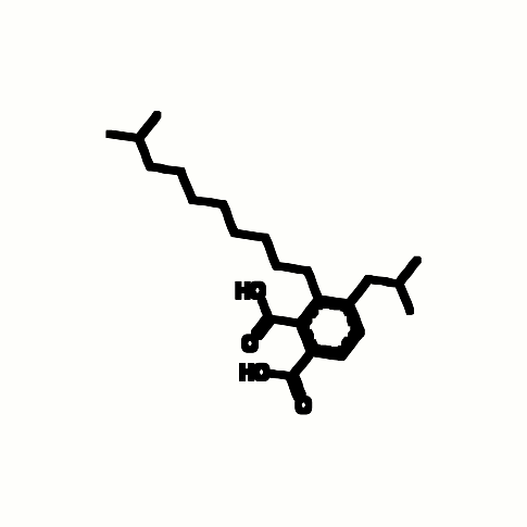 CC(C)CCCCCCCCc1c(CC(C)C)ccc(C(=O)O)c1C(=O)O